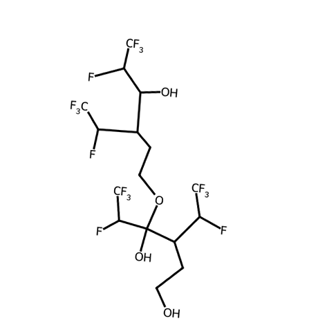 OCCC(C(F)C(F)(F)F)C(O)(OCCC(C(O)C(F)C(F)(F)F)C(F)C(F)(F)F)C(F)C(F)(F)F